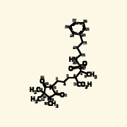 CC(C(CCCN1C(=O)N(C)C(C)(C)C1=O)C(=O)O)S(=O)(=O)NCCCc1ccccc1